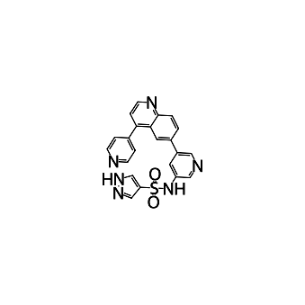 O=S(=O)(Nc1cncc(-c2ccc3nccc(-c4ccncc4)c3c2)c1)c1cn[nH]c1